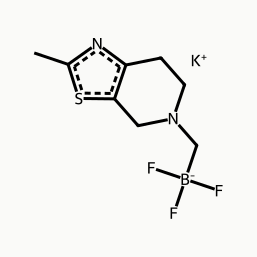 Cc1nc2c(s1)CN(C[B-](F)(F)F)CC2.[K+]